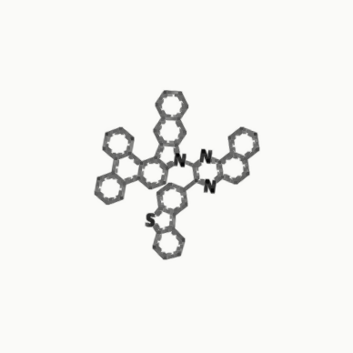 c1ccc2cc3c(cc2c1)c1c2c4ccccc4c4ccccc4c2ccc1n3-c1nc2c(ccc3ccccc32)nc1-c1ccc2sc3ccccc3c2c1